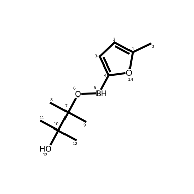 Cc1ccc(BOC(C)(C)C(C)(C)O)o1